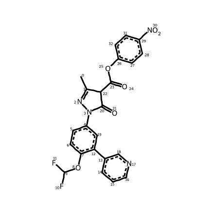 CC1=NN(c2ccc(OC(F)F)c(-c3cccnc3)c2)C(=O)C1C(=O)Oc1ccc([N+](=O)[O-])cc1